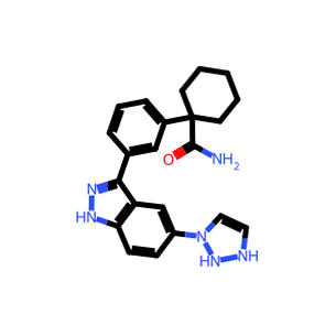 NC(=O)C1(c2cccc(-c3n[nH]c4ccc(N5C=CNN5)cc34)c2)CCCCC1